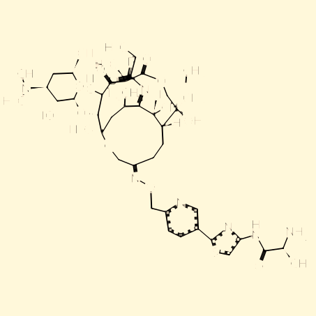 CCC(=O)/N=C1\[C@H](C)C[C@@]2(C)CC/C(=N/OCc3ccc(-c4nc(NC(=O)[C@H](C)N)cs4)cn3)CC[C@H]([C@H]1C)[C@](C)(O)[C@@H](CC)OC(=O)[C@@](C)(F)C(=O)C(C)[C@H]2O[C@@H]1O[C@H](C)C[C@H](N(C)C)[C@H]1O